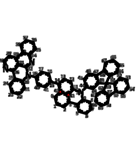 c1ccc(-c2ccccc2N(c2ccc(-c3ccc(N4c5ccccc5-c5nccc6c5c4nc4ccccc46)cc3)cc2)c2ccc3c(c2)C2(c4ccccc4-c4ccccc42)c2ccccc2-3)cc1